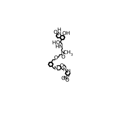 CN(CCNCC(O)c1ccc(O)c2[nH]c(=O)ccc12)C(=O)CCOCCc1cccc(CN2CCC3(CC2)CN(c2cc([N+](=O)[O-])ccn2)CCO3)c1